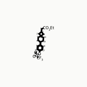 CCOC(=O)CC1CC2(CCC(c3ccc(OS(=O)(=O)C(F)(F)F)cc3)CC2)C1